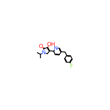 CC(C)N1CC(c2ccc(Cc3ccc(F)cc3)cn2)=C(O)C1=O